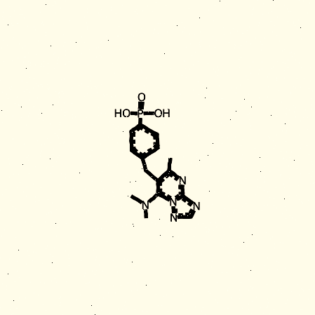 Cc1nc2ncnn2c(N(C)C)c1Cc1ccc(P(=O)(O)O)cc1